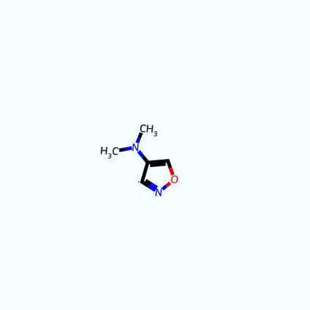 CN(C)c1[c]noc1